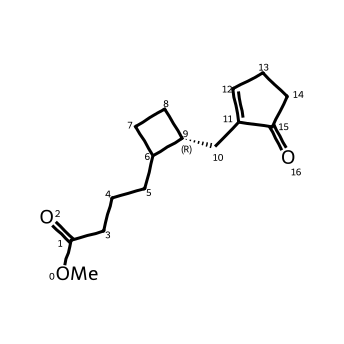 COC(=O)CCCC1CC[C@@H]1CC1=CCCC1=O